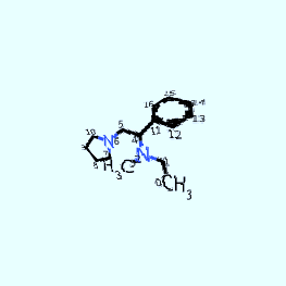 CCN(C)C(CN1CCCC1)c1ccccc1